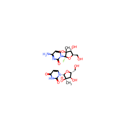 C[C@@]1(O)[C@H](O)[C@@H](CO)O[C@@]1(F)n1ccc(N)nc1=O.C[C@@]1(O)[C@H](O)[C@@H](CO)O[C@H]1n1ccc(=O)[nH]c1=O